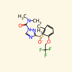 Cc1cccc(OCC(F)(F)F)c1[S+]([O-])c1ncn(C(=O)N(C)C)n1